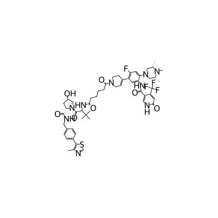 Cc1ncsc1-c1ccc(CNC(=O)[C@@H]2C[C@@H](O)CN2C(=O)C(NC(=O)CCCCC(=O)N2CC=C(c3cc(NC(=O)c4c[nH]c(=O)cc4C(F)(F)F)c(N4C[C@@H](C)N(C)[C@@H](C)C4)cc3F)CC2)C(C)(C)C)cc1